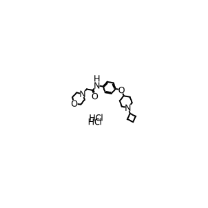 Cl.Cl.O=C(CN1CCOCC1)Nc1ccc(OC2CCN(C3CCC3)CC2)cc1